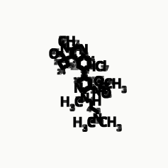 CN(C)CCCN(C)c1ncc(-c2ccc3ncc4c(c3c2)C2(CCC2)C(=O)N4C)cc1NS(C)(=O)=O.Cl